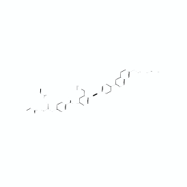 C=CC(=O)OCC(COC(=O)C=C)Cc1ccc(C(=O)Oc2cc(Cl)c(C#Cc3ccc(-c4ccc5cc(CCOCCOC)ccc5c4)cc3)c(C=N)c2)cc1